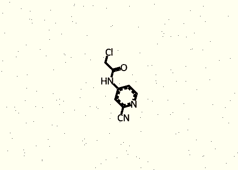 N#Cc1cc(NC(=O)CCl)ccn1